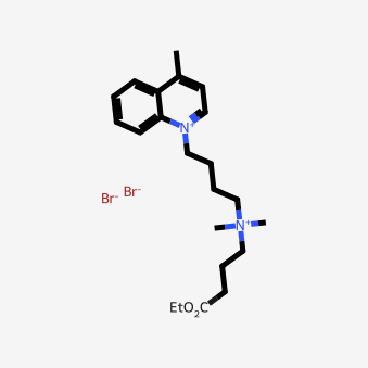 CCOC(=O)CCC[N+](C)(C)CCCC[n+]1ccc(C)c2ccccc21.[Br-].[Br-]